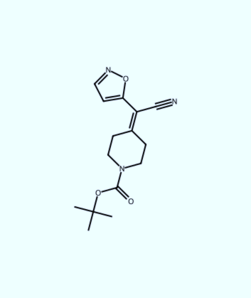 CC(C)(C)OC(=O)N1CCC(=C(C#N)c2ccno2)CC1